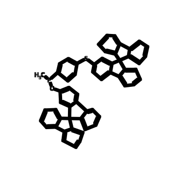 CP(Oc1ccc2c(c1)C1(c3ccccc3-c3ccccc31)c1ccccc1-2)c1ccc(Sc2ccc3c(c2)C2(c4ccccc4-c4ccccc42)c2ccccc2-3)cc1